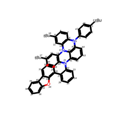 CC(C)(C)c1ccc(N2c3ccc(C(C)(C)C)cc3N3c4cc(C(C)(C)C)ccc4N(c4ccccc4-c4cccc5c4oc4ccccc45)c4cccc2c43)cc1